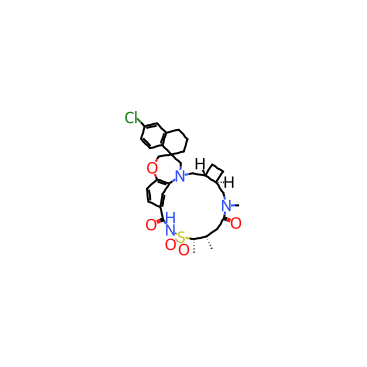 C[C@H]1CC(=O)N(C)C[C@@H]2CC[C@H]2CN2CC3(CCCc4cc(Cl)ccc43)COc3ccc(cc32)C(=O)NS(=O)(=O)[C@H]1C